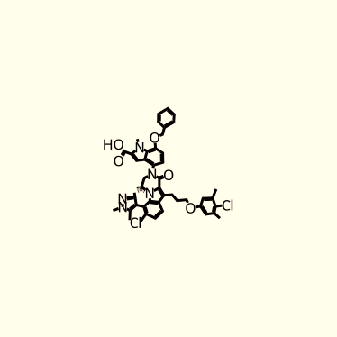 Cc1cc(OCCCc2c3n(c4c(-c5c(C)nn(C)c5C)c(Cl)ccc24)[C@H](C)CN(c2ccc(OCc4ccccc4)c4c2cc(C(=O)O)n4C)C3=O)cc(C)c1Cl